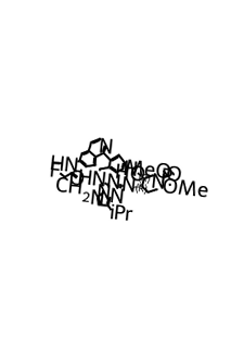 C=C(F)C(=O)Nc1ccc2c(-c3ccccc3CNc3nc(NC[C@H]4CCN(P(=O)(OC)OC)C[C@@H]4O)nc4c(C(C)C)cnn34)nccc2c1